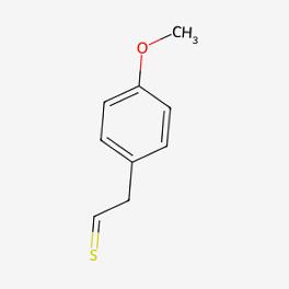 COc1ccc(CC=S)cc1